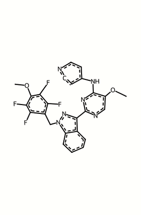 COc1cnc(-c2nn(Cc3c(F)c(F)c(OC)c(F)c3F)c3ccccc23)nc1Nc1ccncc1